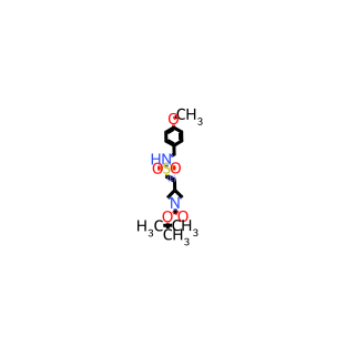 COc1ccc(CNS(=O)(=O)/C=C/C2CN(C(=O)OC(C)(C)C)C2)cc1